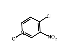 O=[N+]([O-])c1c[n+]([O-])ccc1Cl